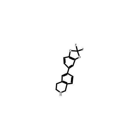 FC1(F)Oc2ccc(-c3ccc4c(c3)CCNC4)cc2O1